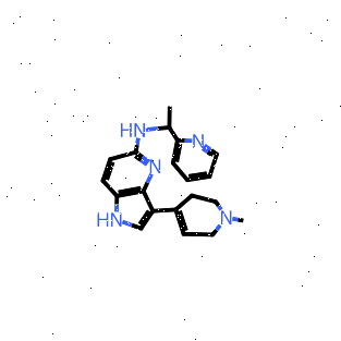 CC(Nc1ccc2[nH]cc(C3=CCN(C)CC3)c2n1)c1ccccn1